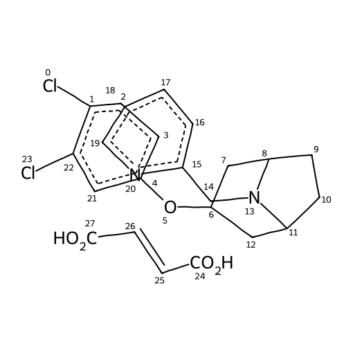 Clc1ccc(OC2CC3CCC(C2)N3Cc2ccccn2)cc1Cl.O=C(O)/C=C/C(=O)O